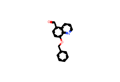 O=Cc1ccc(OCc2ccccc2)c2ncccc12